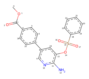 COC(=O)c1ccc(-c2cnc(N)c(OS(=O)(=O)c3ccccc3)c2)cc1